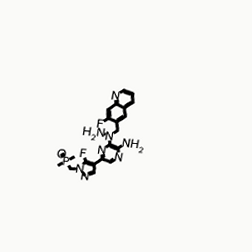 CP(C)(=O)Cn1ncc(-c2cnc(N)c(N(N)Cc3cc4cccnc4cc3F)n2)c1F